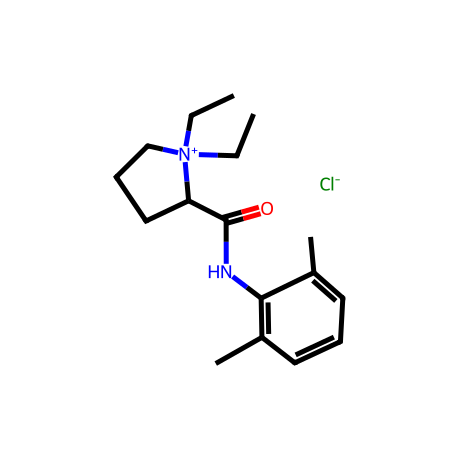 CC[N+]1(CC)CCCC1C(=O)Nc1c(C)cccc1C.[Cl-]